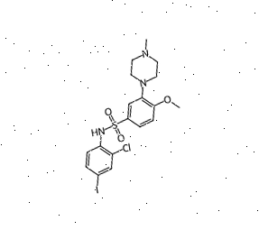 COc1ccc(S(=O)(=O)Nc2ccc(I)cc2Cl)cc1N1CCN(C)CC1